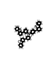 c1cc(-c2ccc3oc4ccccc4c3c2)cc(N(c2ccc(-c3cccc4c3sc3ccccc34)cc2)c2cccc(-c3cccc4c3sc3ccccc34)c2)c1